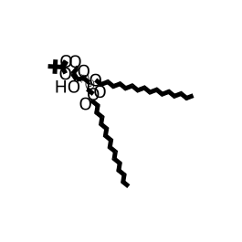 CCCCCCCCCCCCCCCC(=O)OC[C@H](OC(=O)CCCCCCCCCCCCCCC)[C@H]1OC(=O)C(OC(=O)C(C)(C)C)=C1O